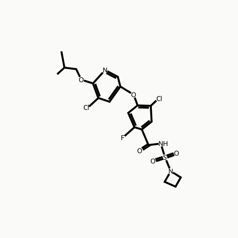 CC(C)COc1ncc(Oc2cc(F)c(C(=O)NS(=O)(=O)N3CCC3)cc2Cl)cc1Cl